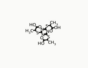 CC(Sc1nc(SC(C)C(=O)O)nc(SC(C)C(=O)O)n1)C(=O)O